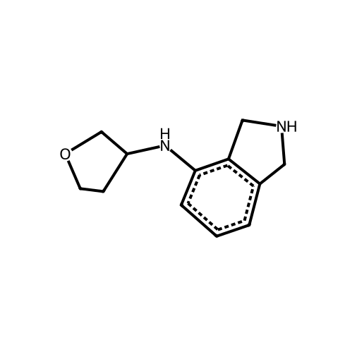 c1cc2c(c(NC3CCOC3)c1)CNC2